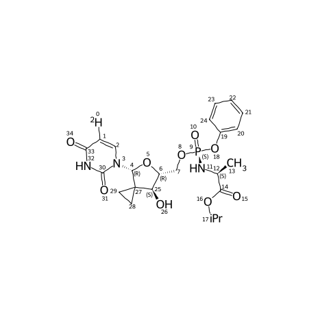 [2H]c1cn([C@@H]2O[C@H](CO[P@@](=O)(N[C@@H](C)C(=O)OC(C)C)Oc3ccccc3)[C@@H](O)C23CC3)c(=O)[nH]c1=O